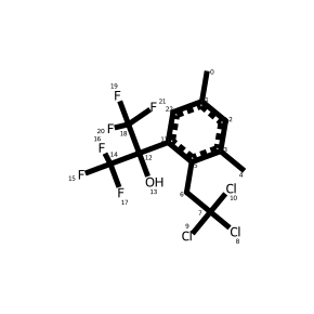 Cc1[c]c(C)c(CC(Cl)(Cl)Cl)c(C(O)(C(F)(F)F)C(F)(F)F)c1